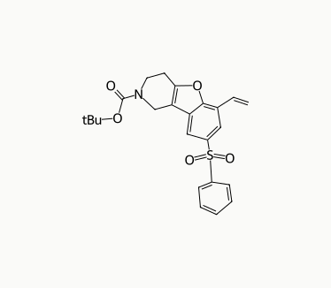 C=Cc1cc(S(=O)(=O)c2ccccc2)cc2c3c(oc12)CCN(C(=O)OC(C)(C)C)C3